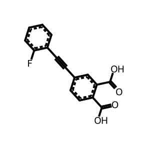 O=C(O)c1ccc(C#Cc2ccccc2F)cc1C(=O)O